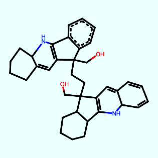 OCC1(CCC2(CO)C3=C(NC4C=CC=CC4=C3)C3CCCCC32)C2=C(NC3CCCCC3=C2)c2ccccc21